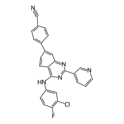 N#Cc1ccc(-c2ccc3c(Nc4ccc(F)c(Cl)c4)nc(-c4cccnc4)nc3c2)cc1